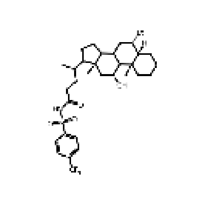 CC[C@H]1CC2C3CC[C@H]([C@H](C)CCC(=O)NS(=O)(=O)c4ccc(C(F)(F)F)cc4)[C@@]3(C)C[C@H](O)C2[C@@]2(C)CCCC[C@@H]12